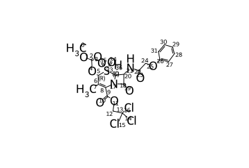 COC(=O)O[C@H]1C(C)=C(C(=O)OCC(Cl)(Cl)Cl)N2C(=O)C(NC(=O)COc3ccccc3)[C@@H]2S1(=O)=O